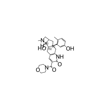 Cc1ccc(O)cc1[C@@]12Cc3[nH]c(=O)c(C(=O)N4CCOCC4)cc3C[C@@]1(O)[C@H]1C(CN1C)C2